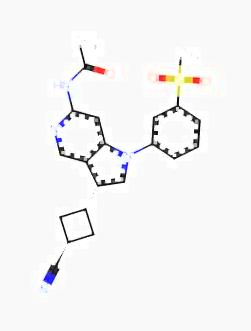 CC(=O)Nc1cc2c(cn1)c([C@H]1C[C@H](C#N)C1)cn2-c1cccc(S(C)(=O)=O)c1